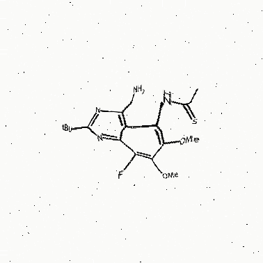 COc1c(OC)c(NC(C)=S)c2c(N)nc(C(C)(C)C)nc2c1F